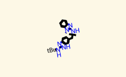 Cn1c(NC(C)(C)Cc2ccc3nc(NC(C)(C)C)[nH]c3c2)nc2ccccc21